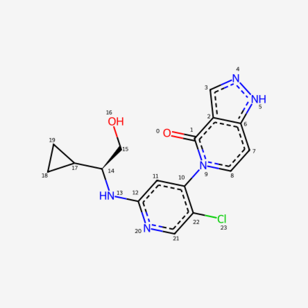 O=c1c2cn[nH]c2ccn1-c1cc(N[C@H](CO)C2CC2)ncc1Cl